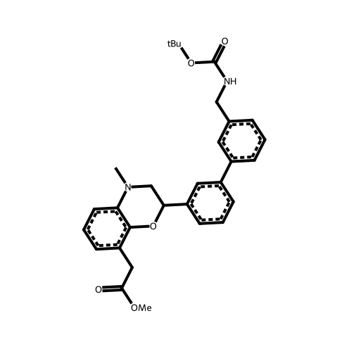 COC(=O)Cc1cccc2c1OC(c1cccc(-c3cccc(CNC(=O)OC(C)(C)C)c3)c1)CN2C